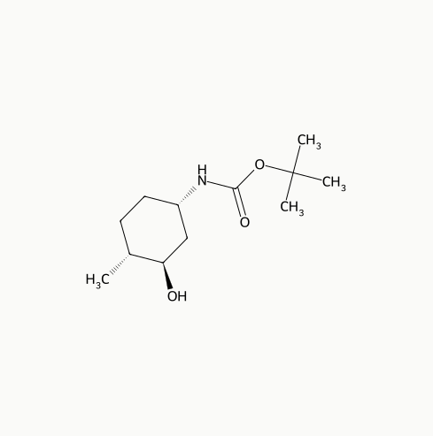 C[C@@H]1CC[C@H](NC(=O)OC(C)(C)C)C[C@H]1O